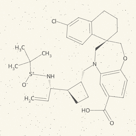 C=C[C@H](N[S+]([O-])C(C)(C)C)[C@@H]1CC[C@H]1CN1C[C@@]2(CCCc3cc(Cl)ccc32)COc2ccc(C(=O)O)cc21